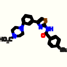 CC(C)(C)c1ccc(C(=O)Nc2nc(-c3cccc(N4CCN(C(=O)O)CC4)c3)cs2)cc1